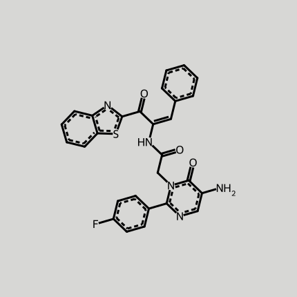 Nc1cnc(-c2ccc(F)cc2)n(CC(=O)NC(=Cc2ccccc2)C(=O)c2nc3ccccc3s2)c1=O